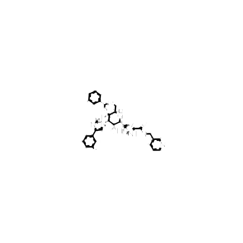 O=C(NCc1cccnc1)c1nnc([C@@H]2O[C@@H]3CO[C@H](c4ccccc4)O[C@@H]3[C@H](n3cc(-c4cccc(F)c4)nn3)[C@H]2O)o1